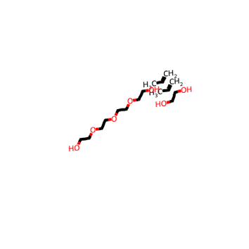 C=CC.C=CC.OCCO.OCCOCCOCCOCCO